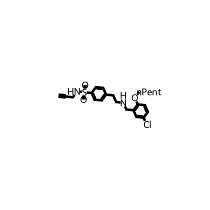 C#CCNS(=O)(=O)c1ccc(CCNCc2cc(Cl)ccc2OCCCCC)cc1